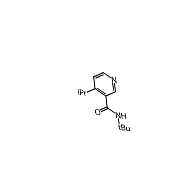 CC(C)c1ccncc1C(=O)NC(C)(C)C